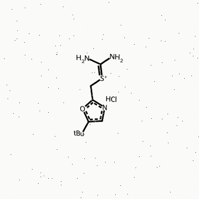 CC(C)(C)c1cnc(C[S+]=C(N)N)o1.Cl